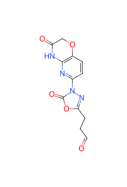 O=CCCc1nn(-c2ccc3c(n2)NC(=O)CO3)c(=O)o1